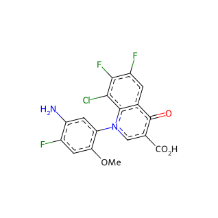 COc1cc(F)c(N)cc1-n1cc(C(=O)O)c(=O)c2cc(F)c(F)c(Cl)c21